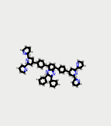 c1ccc(-c2nc3c(-c4ccc(-c5cc(-c6ccccn6)nc(-c6ccccn6)c5)cc4)ccc(-c4ccc(-c5cc(-c6ccccn6)nc(-c6ccccn6)c5)cc4)c3nc2-c2ccccc2)cc1